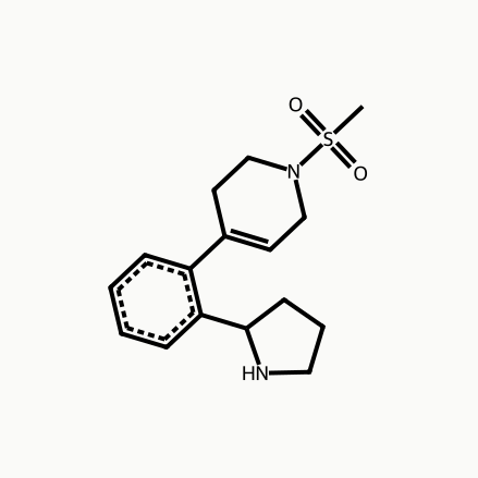 CS(=O)(=O)N1CC=C(c2ccccc2C2CCCN2)CC1